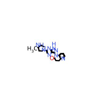 CC1(N)CCN(c2cnc3c(N4C(=O)CCc5ncccc54)n[nH]c3n2)CC1